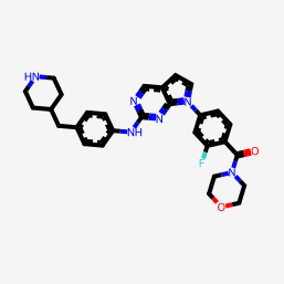 O=C(c1ccc(-n2ccc3cnc(Nc4ccc(CC5CCNCC5)cc4)nc32)cc1F)N1CCOCC1